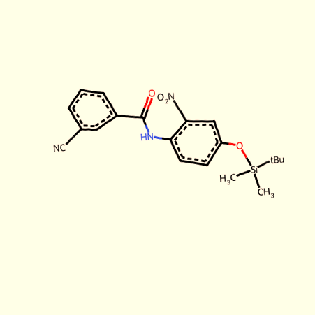 CC(C)(C)[Si](C)(C)Oc1ccc(NC(=O)c2cccc(C#N)c2)c([N+](=O)[O-])c1